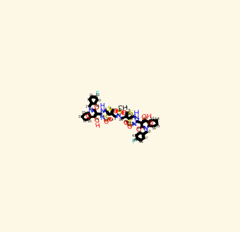 CS(=O)(=O)N(Cc1csc2c1S(=O)(=O)N=C(C1=C(O)C3C4CCC(O4)C3N(Cc3ccc(F)cc3)C1=O)N2)Cc1csc2c1S(=O)(=O)N=C(C1=C(O)C3C4CCC(O4)C3N(Cc3ccc(F)cc3)C1=O)N2